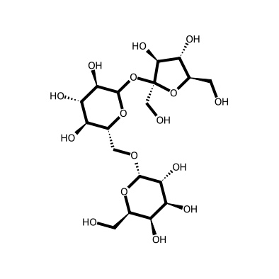 OC[C@H]1O[C@H](OC[C@H]2OC(O[C@]3(CO)O[C@H](CO)[C@@H](O)[C@@H]3O)[C@H](O)[C@@H](O)[C@@H]2O)[C@H](O)[C@@H](O)[C@H]1O